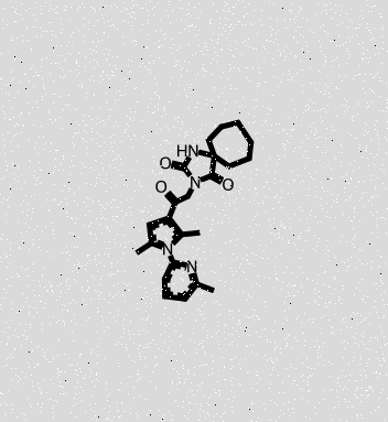 Cc1cccc(-n2c(C)cc(C(=O)CN3C(=O)NC4(CCCCCC4)C3=O)c2C)n1